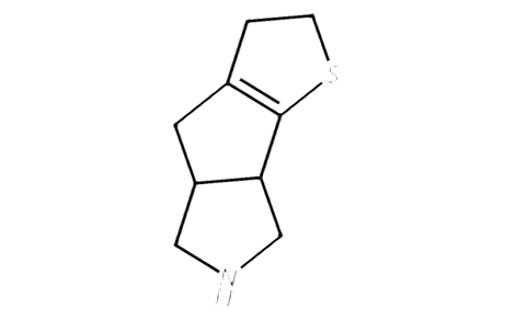 C1CC2=C(S1)C1CNCC1C2